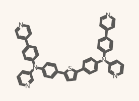 c1cncc(N(c2ccc(-c3ccncc3)cc2)c2ccc(-c3ccc(-c4ccc(N(c5ccc(-c6ccncc6)cc5)c5cccnc5)cc4)s3)cc2)c1